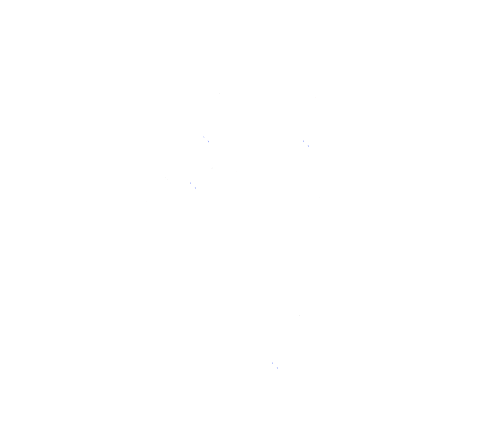 O=C1CCN(c2cc(C(=O)N3CCC(CCOCC4(O)CCNCC4)CC3)ccc2Cl)C(=O)N1